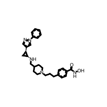 O=C(NO)c1ccc(CCCN2CCC(CN[C@@H]3C[C@H]3c3cnn(-c4ccccc4)c3)CC2)cc1